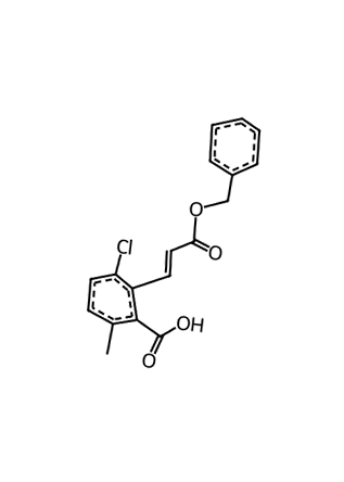 Cc1ccc(Cl)c(/C=C/C(=O)OCc2ccccc2)c1C(=O)O